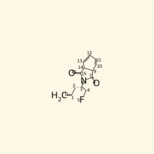 C=CC[C@@H](CF)N1C(=O)C2C=CC=CC2C1=O